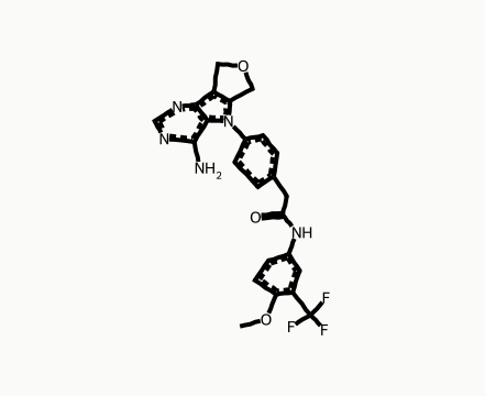 COc1ccc(NC(=O)Cc2ccc(-n3c4c(c5ncnc(N)c53)COC4)cc2)cc1C(F)(F)F